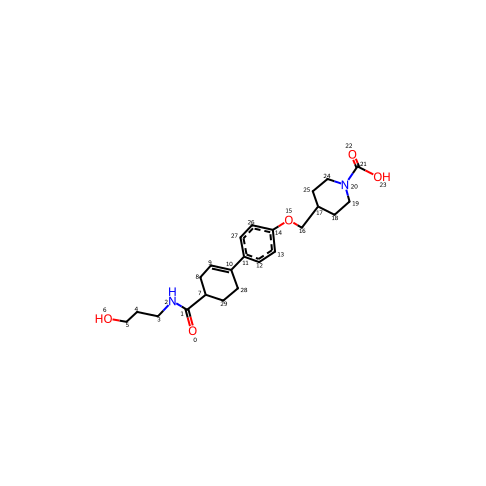 O=C(NCCCO)C1CC=C(c2ccc(OCC3CCN(C(=O)O)CC3)cc2)CC1